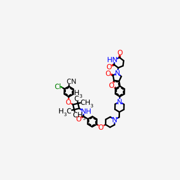 CC1(C)C(NC(=O)c2ccc(OC3CCN(CC4CCN(c5ccc6c7c(oc6c5)C(=O)N(C5CCC(=O)NC5=O)C7)CC4)CC3)cc2)C(C)(C)C1Oc1ccc(C#N)c(Cl)c1